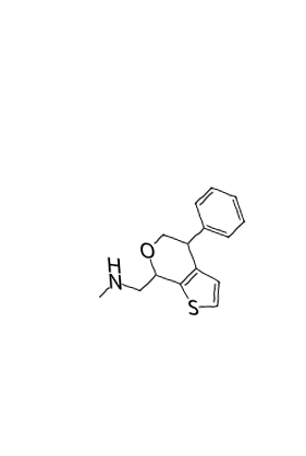 CNCC1OCC(c2ccccc2)c2ccsc21